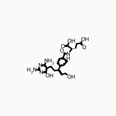 Nc1nc(N)c(CCC(=CCO)c2ccc(C(=O)N[C@@H](CCC(=O)O)C(=O)O)cc2)c(O)n1